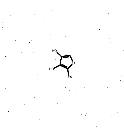 N#Cc1occ(O)c1O